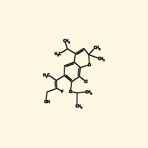 CC(=C(F)CO)c1cc2c(c(Cl)c1OC(C)C)OC(C)(C)C=C2C(C)C